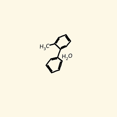 Cc1ccccc1-c1ccccc1.O